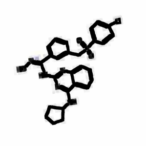 O=S(=O)(Cc1cccc(/C(=N/O)Nc2nc(NC3CCCC3)c3ccccc3n2)c1)c1ccc(Cl)cc1